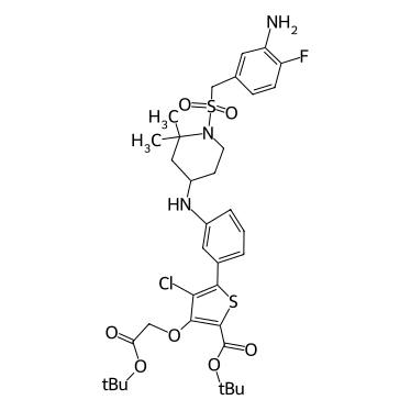 CC(C)(C)OC(=O)COc1c(C(=O)OC(C)(C)C)sc(-c2cccc(NC3CCN(S(=O)(=O)Cc4ccc(F)c(N)c4)C(C)(C)C3)c2)c1Cl